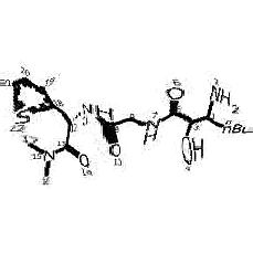 CCCCC(N)C(O)C(=O)NCC(=O)N[C@H](C(=O)N(C)C)c1cccs1